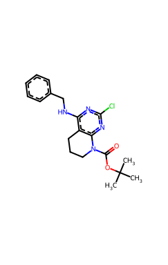 CC(C)(C)OC(=O)N1CCCc2c(NCc3ccccc3)nc(Cl)nc21